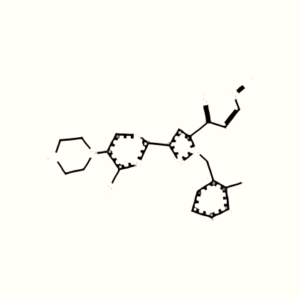 N=C(/C=C\N=O)c1cc(-c2ncc(N3CCOCC3)c(N)n2)nn1Cc1ccccc1F